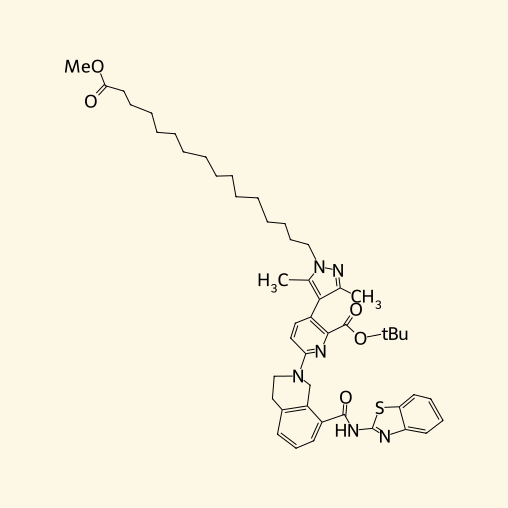 COC(=O)CCCCCCCCCCCCCCCn1nc(C)c(-c2ccc(N3CCc4cccc(C(=O)Nc5nc6ccccc6s5)c4C3)nc2C(=O)OC(C)(C)C)c1C